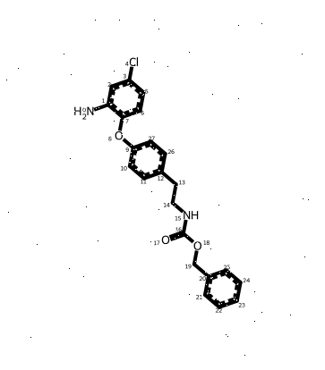 Nc1cc(Cl)ccc1Oc1ccc(CCNC(=O)OCc2ccccc2)cc1